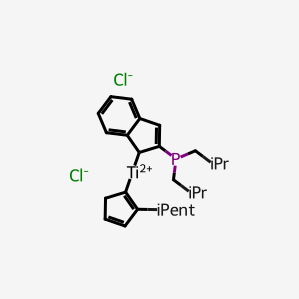 CCCC(C)C1=[C]([Ti+2][CH]2C(P(CC(C)C)CC(C)C)=Cc3ccccc32)CC=C1.[Cl-].[Cl-]